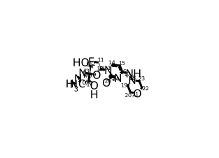 C[C@@H](O)[C@](CO)(N=[N+]=[N-])O[C@H](CF)n1ccc(NN2CCOCC2)nc1=O